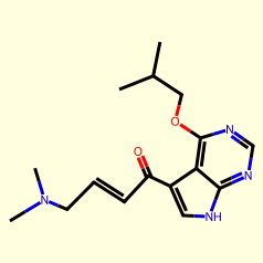 CC(C)COc1ncnc2[nH]cc(C(=O)/C=C/CN(C)C)c12